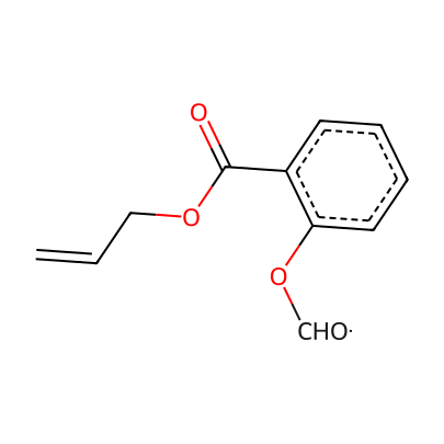 C=CCOC(=O)c1ccccc1O[C]=O